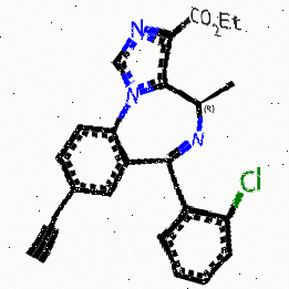 C#Cc1ccc2c(c1)C(c1ccccc1Cl)=N[C@H](C)c1c(C(=O)OCC)ncn1-2